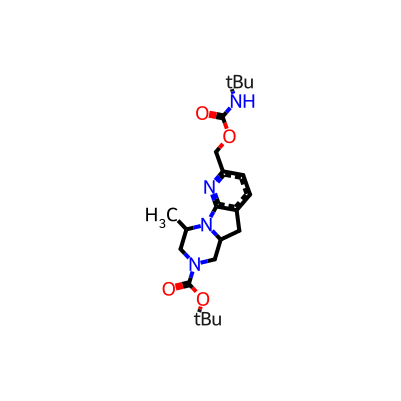 CC1CN(C(=O)OC(C)(C)C)CC2Cc3ccc(COC(=O)NC(C)(C)C)nc3N12